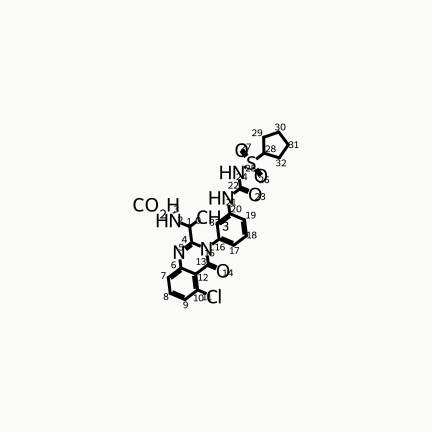 CC(NC(=O)O)c1nc2cccc(Cl)c2c(=O)n1-c1cccc(NC(=O)NS(=O)(=O)C2CCCC2)c1